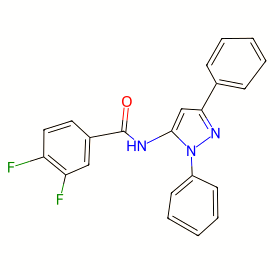 O=C(Nc1cc(-c2ccccc2)nn1-c1ccccc1)c1ccc(F)c(F)c1